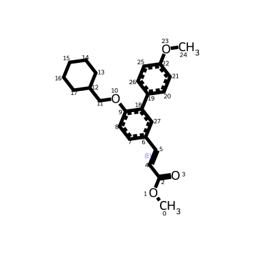 COC(=O)/C=C/c1ccc(OCC2CCCCC2)c(-c2ccc(OC)cc2)c1